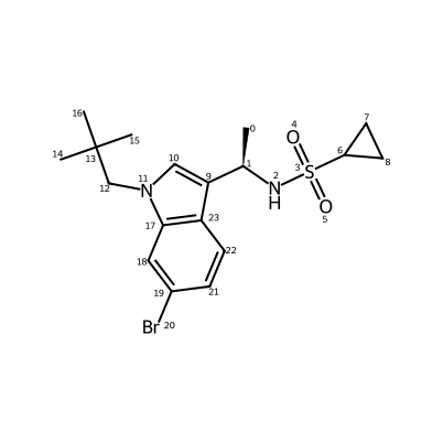 C[C@@H](NS(=O)(=O)C1CC1)c1cn(CC(C)(C)C)c2cc(Br)ccc12